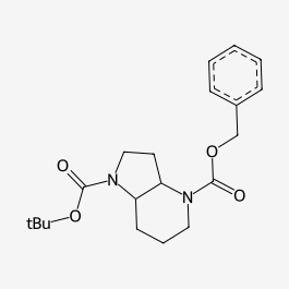 CC(C)(C)OC(=O)N1CCC2C1CCCN2C(=O)OCc1ccccc1